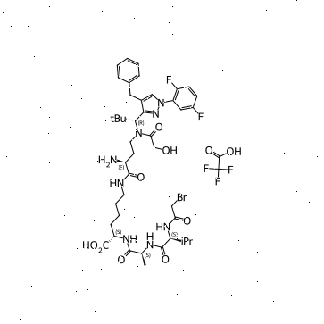 CC(C)[C@H](NC(=O)CBr)C(=O)N[C@@H](C)C(=O)N[C@@H](CCCCNC(=O)[C@@H](N)CCN(C(=O)CO)[C@@H](c1nn(-c2cc(F)ccc2F)cc1Cc1ccccc1)C(C)(C)C)C(=O)O.O=C(O)C(F)(F)F